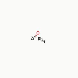 [O]=[Zr].[Pt].[Rh]